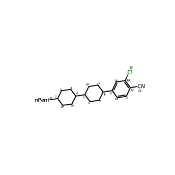 CCCCCC1CCC(C2CCC(c3ccc(C#N)c(Cl)c3)CC2)CC1